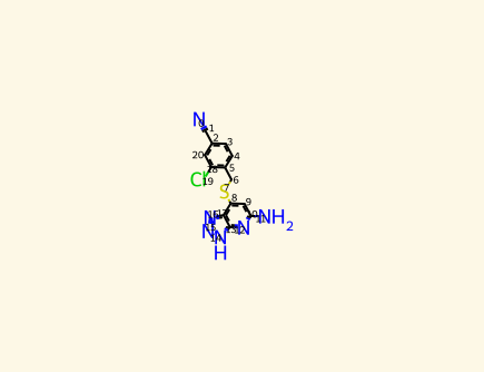 N#Cc1ccc(CSc2cc(N)nc3[nH]nnc23)c(Cl)c1